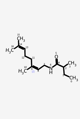 CCC(C)C(=O)NC/C=C(/C)CCC=C(C)C